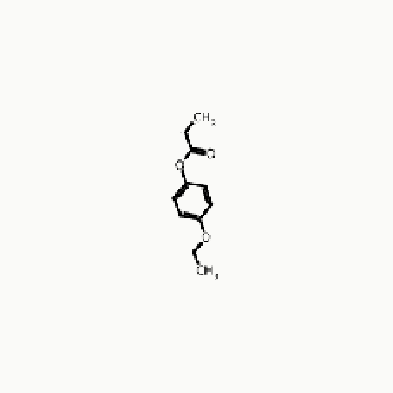 C[CH]C(=O)Oc1ccc(OCC)cc1